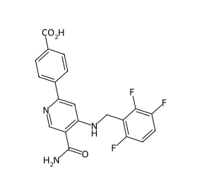 NC(=O)c1cnc(-c2ccc(C(=O)O)cc2)cc1NCc1c(F)ccc(F)c1F